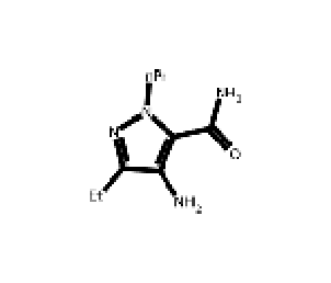 CCCn1nc(CC)c(N)c1C(N)=O